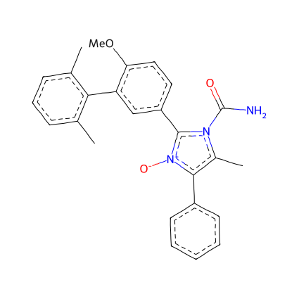 COc1ccc(-c2n(C(N)=O)c(C)c(-c3ccccc3)[n+]2[O-])cc1-c1c(C)cccc1C